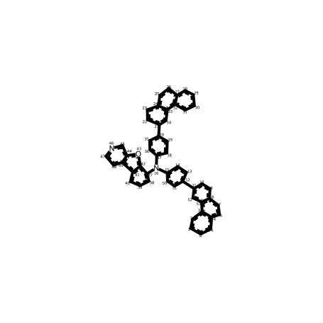 c1ccc2c(c1)ccc1ccc(-c3ccc(N(c4ccc(-c5ccc6ccc7ccccc7c6c5)cc4)c4cccc5c4oc4cnccc45)cc3)cc12